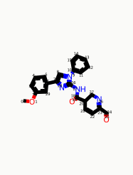 COc1cccc(-c2cn(-c3ccccc3)c(NC(=O)C3C=CC(C=O)=NC3)n2)c1